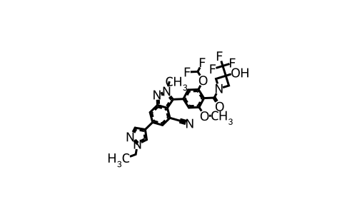 CCn1cc(-c2cc(C#N)c3c(-c4cc(OC)c(C(=O)N5CC(O)(C(F)(F)F)C5)c(OC(F)F)c4)n(C)nc3c2)cn1